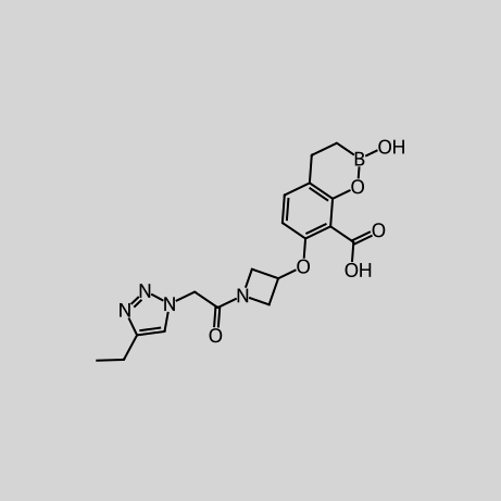 CCc1cn(CC(=O)N2CC(Oc3ccc4c(c3C(=O)O)OB(O)CC4)C2)nn1